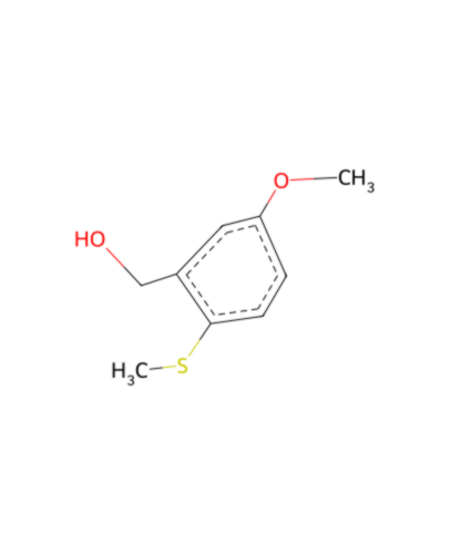 COc1ccc(SC)c(CO)c1